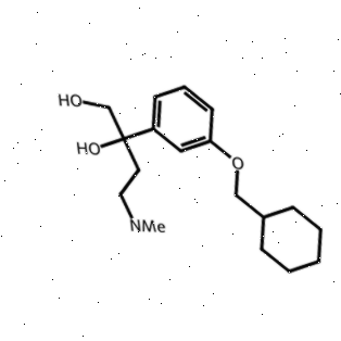 CNCCC(O)(CO)c1cccc(OCC2CCCCC2)c1